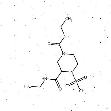 CCNC(=O)C1CN(C(=O)NCC)CCN1S(C)(=O)=O